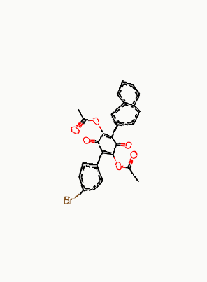 CC(=O)OC1=C(c2ccc(Br)cc2)C(=O)C(OC(C)=O)=C(c2ccc3ccccc3c2)C1=O